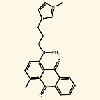 Cc1ccc(N(N)CCCn2cc[n+](C)c2)c2c1C(=O)c1ccccc1C2=O